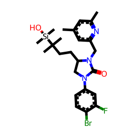 Cc1cc(C)nc(CN2C(=O)N(c3ccc(Br)c(F)c3)CC2CCC(C)(C)[Si](C)(C)O)c1